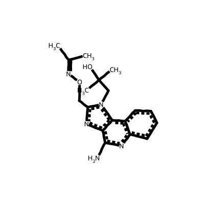 CC(C)=NOCc1nc2c(N)nc3ccccc3c2n1CC(C)(C)O